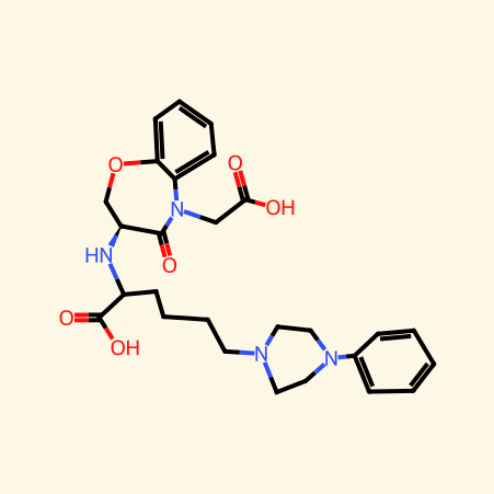 O=C(O)CN1C(=O)[C@@H](NC(CCCCN2CCN(c3ccccc3)CC2)C(=O)O)COc2ccccc21